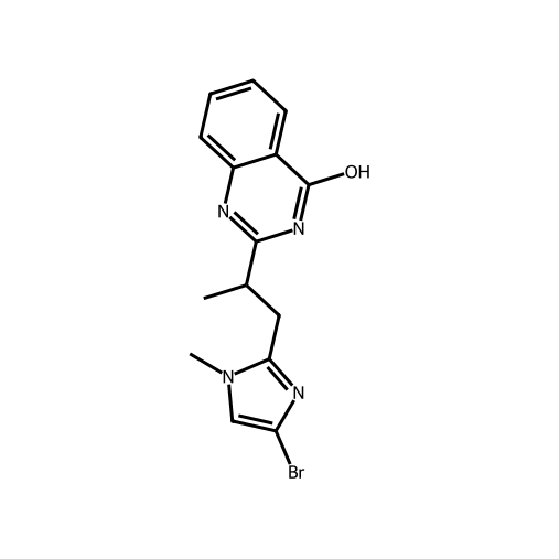 CC(Cc1nc(Br)cn1C)c1nc(O)c2ccccc2n1